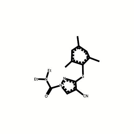 CCN(CC)C(=O)n1cc(C#N)c(Sc2c(C)cc(C)cc2C)n1